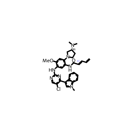 C=C/C=C/C(=O)Nc1cc(Nc2ncc(Cl)c(-c3cn(C)c4ccccc34)n2)c(OC)cc1N1CC[C@@H](N(C)C)C1